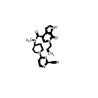 C=CCn1cc(C(=O)N(C)C2CCN(c3ccnc(C#N)n3)CC2)c2cc[nH]c2c1=O